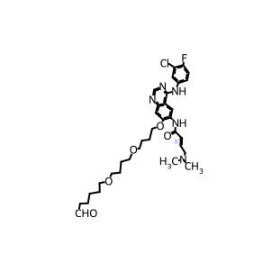 CN(C)C/C=C/C(=O)Nc1cc2c(Nc3ccc(F)c(Cl)c3)ncnc2cc1OCCCCOCCCCOCCCCCC=O